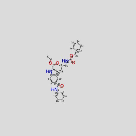 CCOC(=O)c1[nH]c2ccc(C(=O)Nc3ccccc3)cc2c1CCCNC(=O)OCc1ccccc1